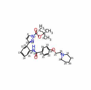 CC(C)(C)OC(=O)n1ccc(-c2ccccc2NC(=O)c2ccc(OCCN3CCCCC3)cc2)n1